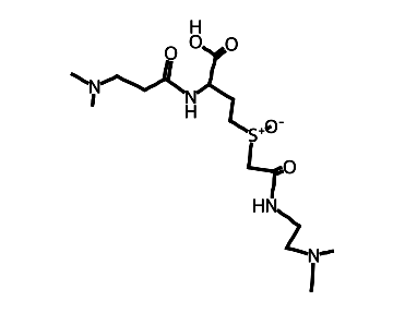 CN(C)CCNC(=O)C[S+]([O-])CCC(NC(=O)CCN(C)C)C(=O)O